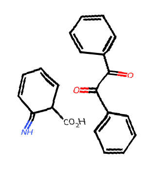 N=C1C=CC=CC1C(=O)O.O=C(C(=O)c1ccccc1)c1ccccc1